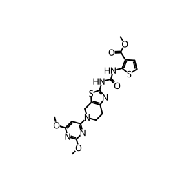 COC(=O)c1ccsc1NC(=O)Nc1nc2c(s1)CN(c1cc(OC)nc(OC)n1)CC2